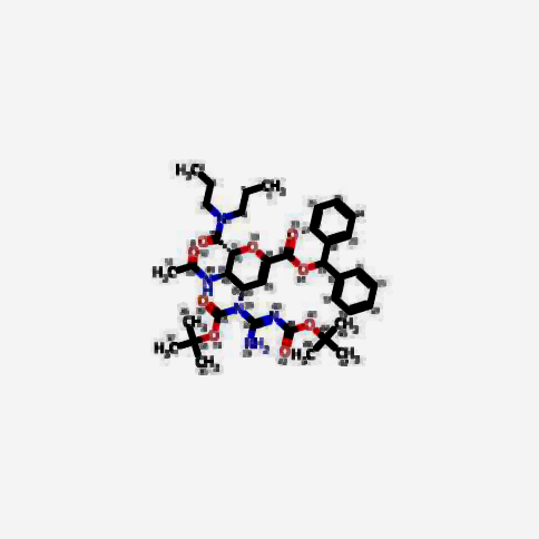 CCCN(CCC)C(=O)[C@@H]1OC(C(=O)OC(c2ccccc2)c2ccccc2)=C[C@H](N(C(=O)OC(C)(C)C)C(N)=NC(=O)OC(C)(C)C)[C@H]1NC(C)=O